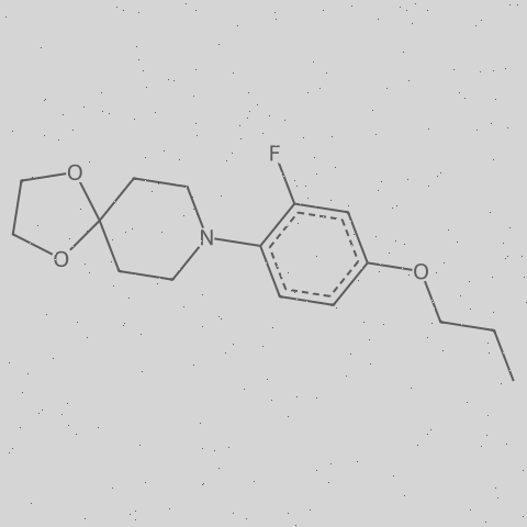 CCCOc1ccc(N2CCC3(CC2)OCCO3)c(F)c1